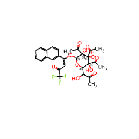 CC(=O)C(O)[C@H]1O[C@@H](OC(=CC(=O)C(F)(F)F)c2ccc3ccccc3c2)[C@@](O)(C(C)=O)[C@](O)(C(C)=O)[C@]1(O)C(C)=O